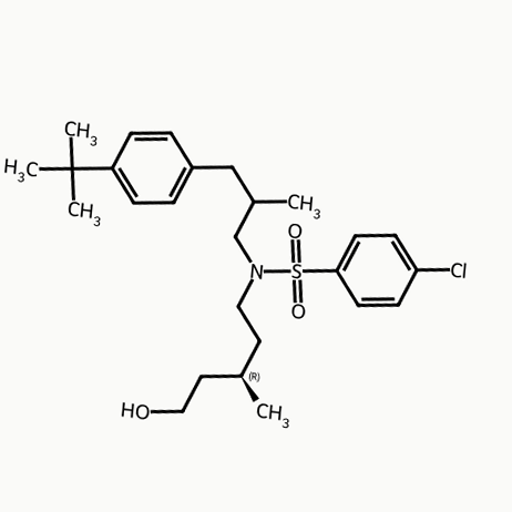 CC(Cc1ccc(C(C)(C)C)cc1)CN(CC[C@@H](C)CCO)S(=O)(=O)c1ccc(Cl)cc1